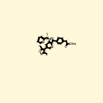 COC(=O)Cc1ccc(-c2nn([C@@H](C)c3ccccn3)c3cc(-c4c(C)noc4C)cnc23)cc1